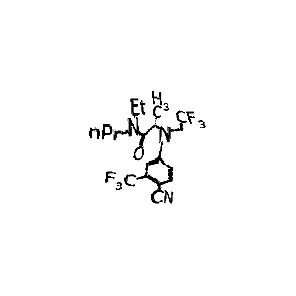 CCCN(CC)C(=O)[C@H](C)N(CC(F)(F)F)c1ccc(C#N)c(C(F)(F)F)c1